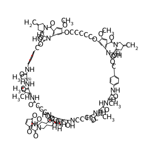 C=C1C[C@H]2C(O)N3C(=O)OCc4ccc(cc4)NC(=O)[C@H](C)NC(=O)[C@H](C(C)C)NC(=O)CCCNC(=O)[C@H](NC(=O)CCCN4C(=O)C=CC4=O)[C@H](NC(=O)CCCN4C(=O)C=CC4=O)C(=O)NCCCC(=O)N[C@H](C(C)C)C(=O)N[C@@H](C)C(=O)Nc4ccc(cc4)COC(=O)N4c5cc(c(OC)cc5C(=O)N5CC(=C)C[C@H]5C4O)OCCCCCOc4cc3c(cc4OC)C(=O)N2C1